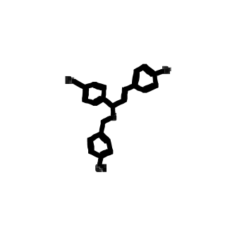 N#Cc1ccc(CSC(C=Cc2ccc(Br)cc2)c2ccc(Br)cc2)cc1